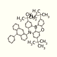 CC(C)(C)c1ccc2c(c1)B1c3cc(C(C)(C)C)ccc3N(c3cccc4c(-c5ccccc5)c5ccccc5cc34)c3cc(C(C)(C)C)cc(c31)O2